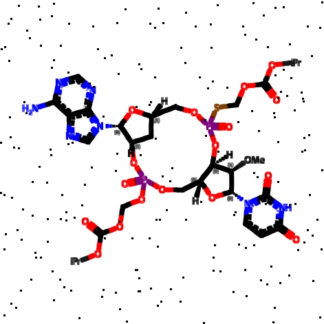 CO[C@@H]1[C@@H]2OP(=O)(SCOC(=O)OC(C)C)OC[C@@H]3C[C@@H](OP(=O)(OCOC(=O)OC(C)C)OC[C@H]2O[C@H]1n1ccc(=O)[nH]c1=O)[C@H](n1cnc2c(N)ncnc21)O3